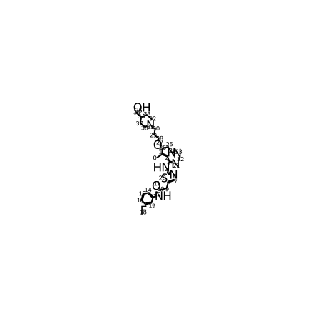 CC1=C2C(Nc3ncc(CC(=O)Nc4cccc(F)c4)s3)=NC=NN2CC1OCCCN1CCC(CO)CC1